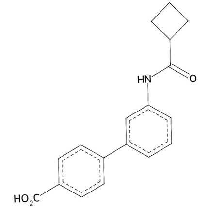 O=C(O)c1ccc(-c2cccc(NC(=O)C3CCC3)c2)cc1